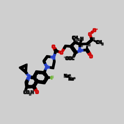 C[C@@H](O[O-])[C@@H]1C(=O)N2C(C(=O)[O-])=C(COC(=O)N3CCN(c4cc5c(cc4F)c(=O)c(C(=O)O)cn5C4CC4)CC3)[C@H](C)[C@H]12.[Na+].[Na+]